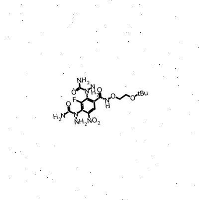 CC(C)(C)OCCONC(=O)c1cc([N+](=O)[O-])c(N(N)C(N)=O)c(F)c1N(N)C(N)=O